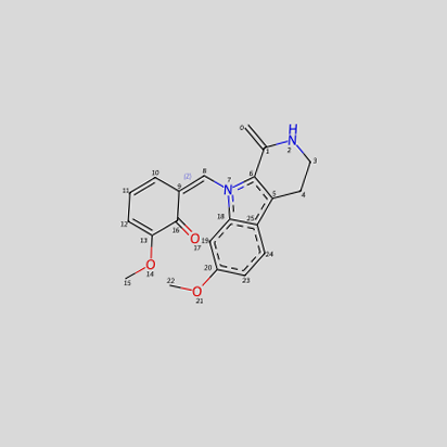 C=C1NCCc2c1n(/C=C1/C=CC=C(OC)C1=O)c1cc(OC)ccc21